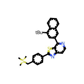 CC(C)(C)c1cc(-c2nccc3nc(-c4ccc(CS(C)(C)C)cc4)sc23)cc2ccccc12